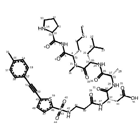 CSCC[C@@H](C(=O)NC(=O)[C@@H]1CCCN1)N(C)C(=O)[C@H](CC(C)C)NC(=O)[C@H](C)NC(=O)[C@H](CC(=O)O)NC(=O)CCNS(=O)(=O)c1ccc(C#Cc2ccc(C)cc2)s1